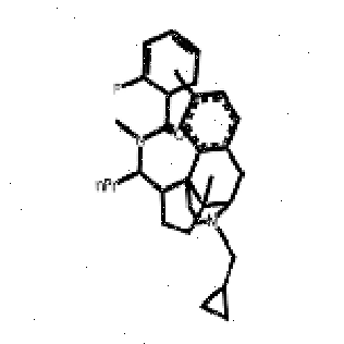 CCCC(C1CCC2(C)C3Cc4ccc(C)cc4C12CCN3CC1CC1)N(C)C(=O)C1CC=CC=C1F